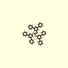 c1ccc(-c2cc(OP(Oc3cc(-c4ccccc4)cc(-c4ccccc4)c3)Oc3cc(-c4ccccc4)cc(-c4ccccc4)c3)cc(-c3ccccc3)c2)cc1